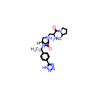 C[C@@H](c1ccc(-c2nnn[nH]2)cc1)N1C(=O)C2C[C@H]1CN2CC(N)C(=O)N1CCCC1C#N